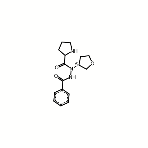 O=C(NN(C(=O)C1CCCN1)[C@@H]1CCOC1)c1ccccc1